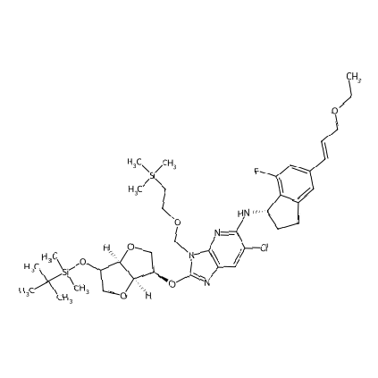 CCOC/C=C/c1cc(F)c2c(c1)CC[C@@H]2Nc1nc2c(cc1Cl)nc(O[C@@H]1CO[C@@H]3C(O[Si](C)(C)C(C)(C)C)CO[C@@H]31)n2COCC[Si](C)(C)C